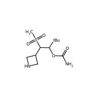 CC(C)(C)C(OC(N)=O)C(C1CNC1)S(C)(=O)=O